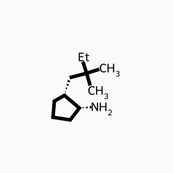 CCC(C)(C)C[C@H]1CCC[C@H]1N